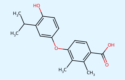 Cc1c(Oc2ccc(O)c(C(C)C)c2)ccc(C(=O)O)c1C